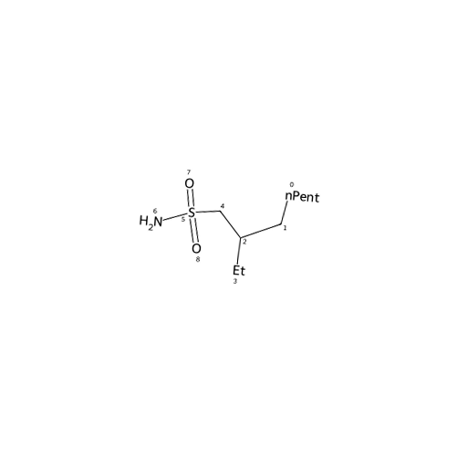 CCCCCCC(CC)CS(N)(=O)=O